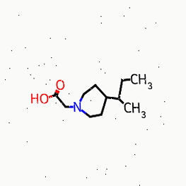 CCC(C)C1CCN(CC(=O)O)CC1